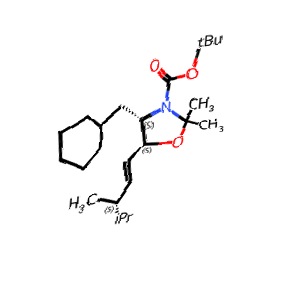 CC(C)[C@H](C)C=C[C@@H]1OC(C)(C)N(C(=O)OC(C)(C)C)[C@H]1CC1CCCCC1